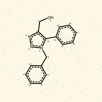 OCc1nnn(Cc2ccccc2)c1-c1ccccc1